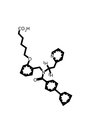 [2H]C([2H])(Cc1ccccn1)N(Cc1ccccc1OCCCCCC(=O)O)C(=O)c1ccc(-c2ccccc2)cc1